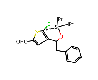 CC(C)[Si](OC(Cc1ccccc1)c1cc(C=O)sc1Cl)(C(C)C)C(C)C